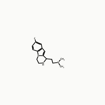 CN(C)CCC1NCCn2c1cc1cc(F)ccc12